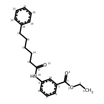 CCOC(=O)c1cccc(NC(=O)CCCCCc2ccccc2)c1